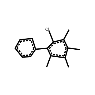 Cc1c(C)c(C)c(-c2ccccc2)c(Cl)c1C